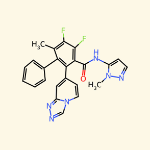 Cc1c(F)c(F)c(C(=O)Nc2ccnn2C)c(-c2ccn3cnnc3c2)c1-c1ccccc1